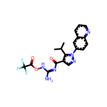 CC(C)c1c(C(=O)N=C(N)NOC(=O)C(F)(F)F)cnn1-c1ccc2ncccc2c1